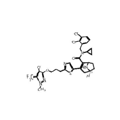 Cn1nc(OCCCc2ncc(C3=C(C(=O)N(Cc4cccc(Cl)c4Cl)C4CC4)C4CC[C@@H](C3)N4)s2)c(Cl)c1C(F)(F)F